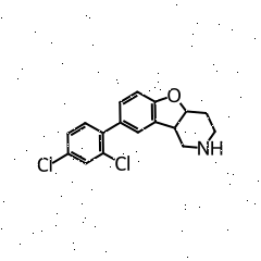 Clc1ccc(-c2ccc3c(c2)C2CNCCC2O3)c(Cl)c1